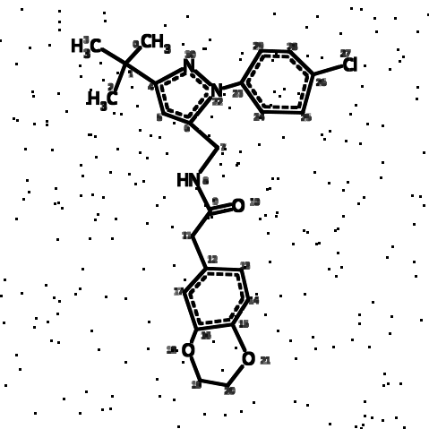 CC(C)(C)c1cc(CNC(=O)Cc2ccc3c(c2)OCCO3)n(-c2ccc(Cl)cc2)n1